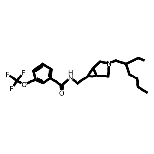 CCCCC(CC)CN1CC2C(CNC(=O)c3cccc(OC(F)(F)F)c3)C2C1